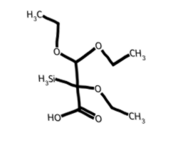 CCOC(OCC)C([SiH3])(OCC)C(=O)O